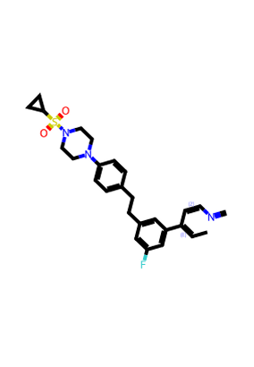 C=N/C=C\C(=C/C)c1cc(F)cc(CCc2ccc(N3CCN(S(=O)(=O)C4CC4)CC3)cc2)c1